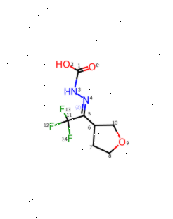 O=C(O)N/N=C(/C1CCOC1)C(F)(F)F